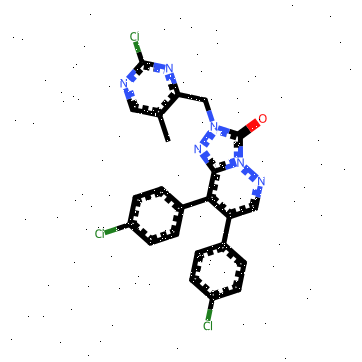 Cc1cnc(Cl)nc1Cn1nc2c(-c3ccc(Cl)cc3)c(-c3ccc(Cl)cc3)cnn2c1=O